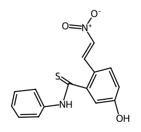 O=[N+]([O-])C=Cc1ccc(O)cc1C(=S)Nc1ccccc1